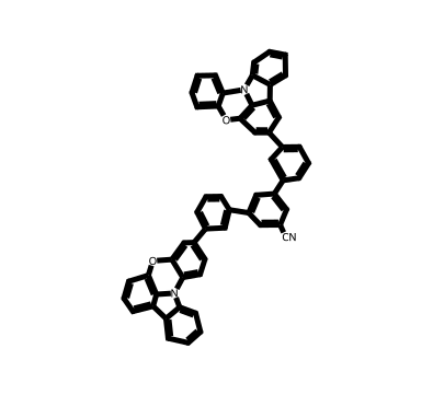 N#Cc1cc(-c2cccc(-c3ccc4c(c3)Oc3cccc5c6ccccc6n-4c35)c2)cc(-c2cccc(-c3cc4c5c(c3)c3ccccc3n5-c3ccccc3O4)c2)c1